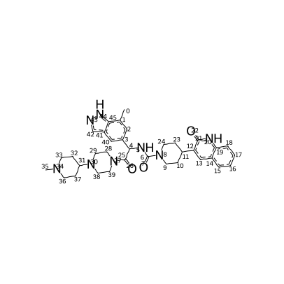 Cc1cc(C(NC(=O)N2CCC(c3cc4ccccc4[nH]c3=O)CC2)C(=O)N2CCN(C3CCN(C)CC3)CC2)cc2cn[nH]c12